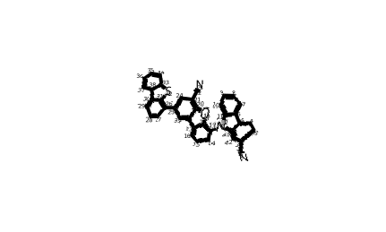 N#Cc1ccc2c3ccccc3n(-c3cccc4c3oc3c(C#N)cc(-c5cccc6c5SC5C=CC=CC65)cc34)c2c1